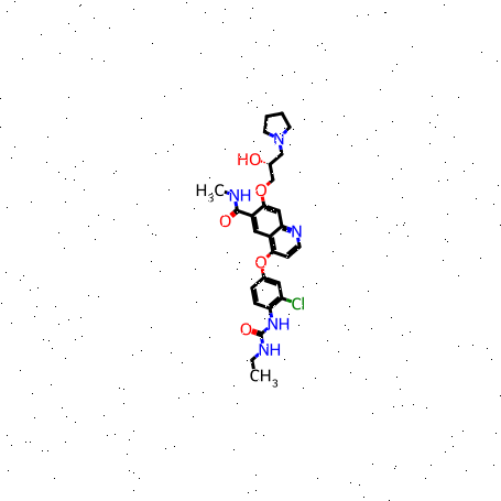 CCNC(=O)Nc1ccc(Oc2ccnc3cc(OC[C@H](O)CN4CCCC4)c(C(=O)NC)cc23)cc1Cl